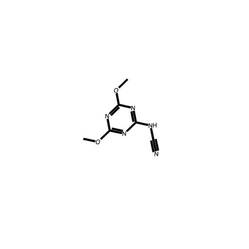 COc1nc(NC#N)nc(OC)n1